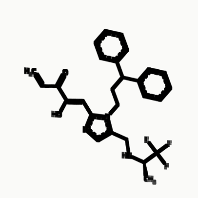 C=CC(=O)/C(O)=C/c1ncc(CN[C@H](C)C(F)(F)F)n1CCC(c1ccccc1)c1ccccc1